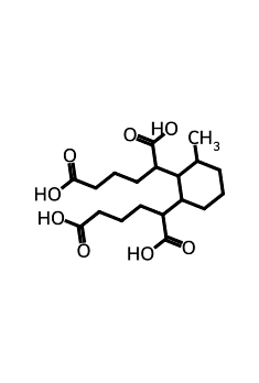 CC1CCCC(C(CCCC(=O)O)C(=O)O)C1C(CCCC(=O)O)C(=O)O